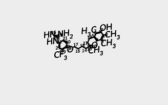 Cc1c(C)c2c(c(C)c1O)CCC(C)(CCCCOc1ccc(NC(=N)N)cc1C(F)(F)F)O2